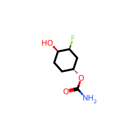 NC(=O)O[C@@H]1CC[C@@H](O)[C@@H](F)C1